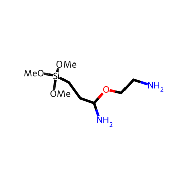 CO[Si](CCC(N)OCCN)(OC)OC